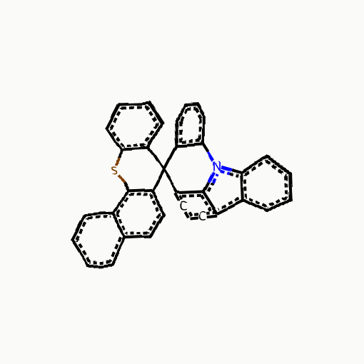 c1ccc2c(c1)Sc1c(ccc3ccccc13)C21c2ccccc2-n2c3ccccc3c3cccc1c32